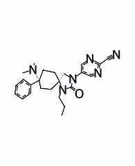 CCCN1C(=O)N(c2cnc(C#N)nc2)C[C@]12CC[C@@](c1ccccc1)(N(C)C)CC2